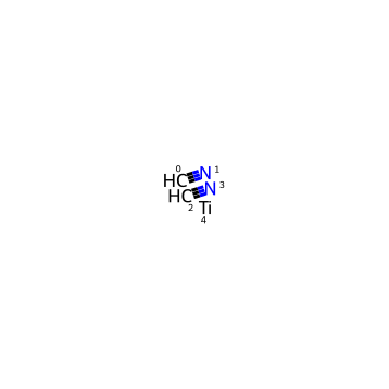 C#N.C#N.[Ti]